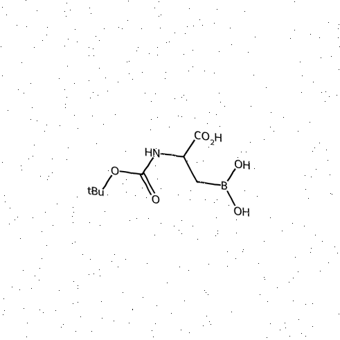 CC(C)(C)OC(=O)NC(CB(O)O)C(=O)O